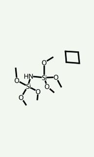 C1CCC1.CO[Si](N[Si](OC)(OC)OC)(OC)OC